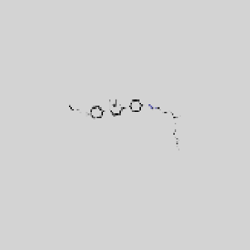 C=CCOc1ccc(-c2ccc(-c3ccc(/C=C/CCCC(C)OCCCCC)cc3)nn2)cc1